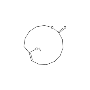 C/C1=C\CCCCCCC(=O)OCCCCC1